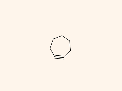 C1#CCCC[CH]C1